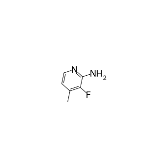 Cc1ccnc(N)c1F